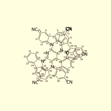 N#Cc1ccc2c(c1)c1cc(C#N)ccc1n2-c1nc(-n2c3ccccc3c3ccccc32)c(-n2c3ccc(C#N)cc3c3cc(C#N)ccc32)c(-c2cccc3c2oc2ccccc23)c1-n1c2ccc(C#N)cc2c2cc(C#N)ccc21